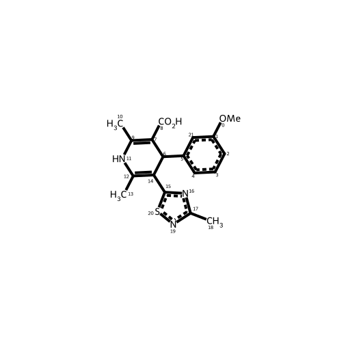 COc1cccc(C2C(C(=O)O)=C(C)NC(C)=C2c2nc(C)ns2)c1